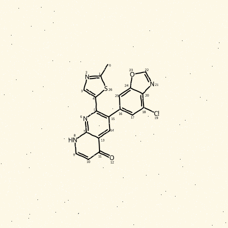 Cc1ncc(-c2nc3[nH]ccc(=O)c3cc2-c2cc(Cl)c3ncoc3c2)s1